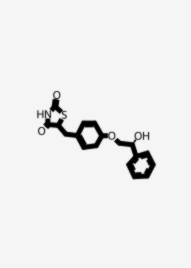 O=C1NC(=O)C(CC2=CCC(OC[C@H](O)c3ccccc3)C=C2)S1